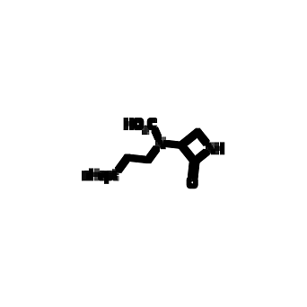 CCCCCCCCCN(C(=O)O)C1CNC1=O